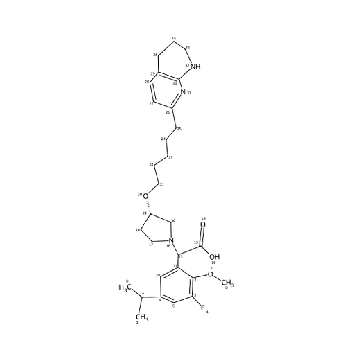 COc1c(F)cc(C(C)C)cc1C(C(=O)O)N1CC[C@H](OCCCCCc2ccc3c(n2)NCCC3)C1